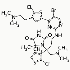 CN(C)CCc1cc(-c2nc(NCCC(CN(C)C)(c3ccsc3Cl)N3C(=O)NC(=O)C3(C)C)ncc2Br)sc1Cl